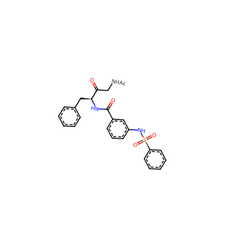 CC(=O)NCC(=O)[C@H](Cc1ccccc1)NC(=O)c1cccc(NS(=O)(=O)c2ccccc2)c1